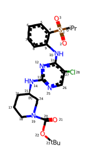 CC(C)S(=O)(=O)c1ccccc1Nc1nc(N[C@@H]2CCCN(C(=O)OC(C)(C)C)C2)ncc1Cl